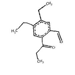 CCC(=O)c1cc(CC)c(CC)cc1C=O